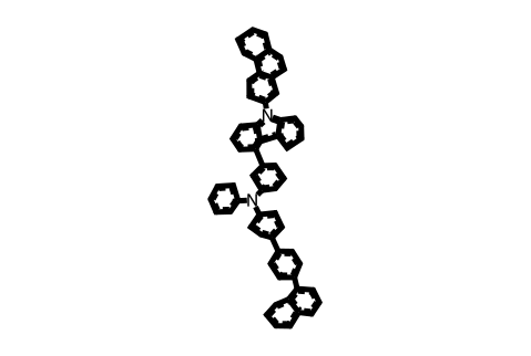 c1ccc(N(c2ccc(-c3ccc(-c4cccc5ccccc45)cc3)cc2)c2cccc(-c3cccc4c3c3ccccc3n4-c3ccc4c(ccc5ccccc54)c3)c2)cc1